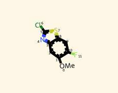 COc1cc2nc(Cl)sc2cc1F